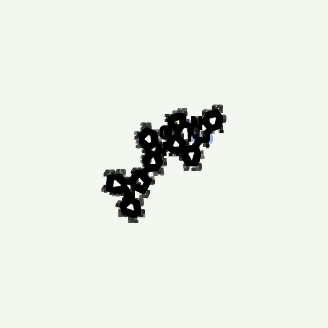 C1=CC2/C=C/C(c3ccccc3)=N\C(c3cccc4c3C3CC=CC(n5c6ccccc6c6cc(-c7ccc8c(c7)c7ccccc7n8-c7ccccc7)ccc65)=C3O4)=N/C2C=C1